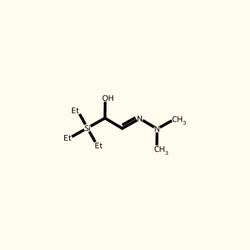 CC[Si](CC)(CC)C(O)C=NN(C)C